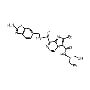 CCc1nc2c(C(=O)NCc3ccc4nc(N)sc4c3)nccn2c1C(=O)N[C@H](CO)CC(C)C